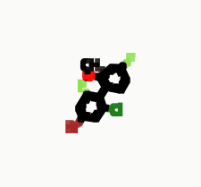 COc1cc(F)ccc1-c1c(F)cc(Br)cc1Cl